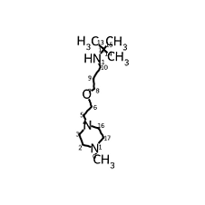 CN1CCN(CCOCCCNC(C)(C)C)CC1